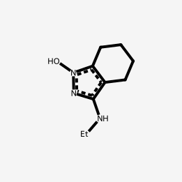 CCNc1nn(O)c2c1CCCC2